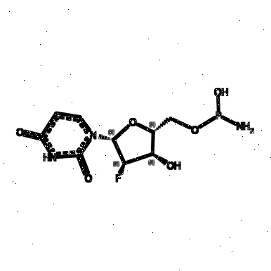 NP(O)OC[C@H]1O[C@@H](n2ccc(=O)[nH]c2=O)[C@H](F)[C@@H]1O